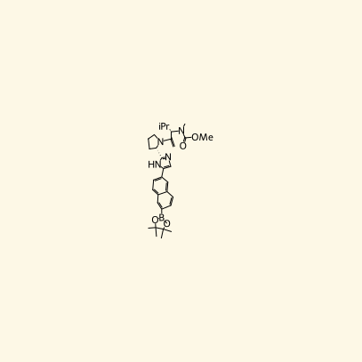 C=C([C@H](C(C)C)N(C)C(=O)OC)N1CCC[C@H]1c1ncc(-c2ccc3cc(B4OC(C)(C)C(C)(C)O4)ccc3c2)[nH]1